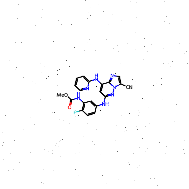 COC(=O)Nc1cc(Nc2cc(Nc3ccccn3)c3ncc(C#N)n3n2)ccc1F